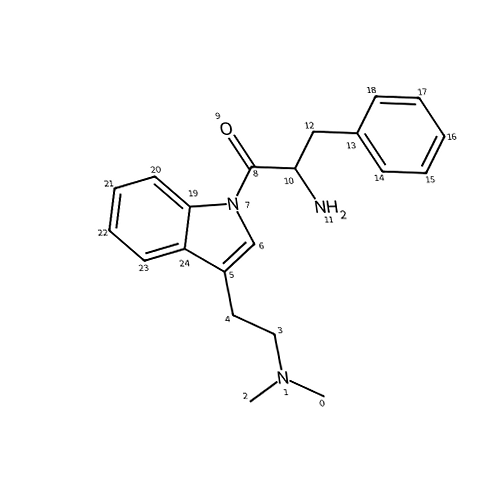 CN(C)CCc1cn(C(=O)C(N)Cc2ccccc2)c2ccccc12